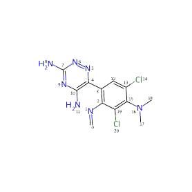 C=Nc1c(-c2nnc(N)nc2N)cc(Cl)c(N(C)C)c1Cl